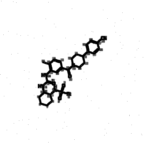 CCS(=O)(=O)N[C@H]1CCCC[C@H]1NC(=O)Nc1cc(C(=O)N2CCC(c3ccc(C#N)cc3)CC2)ccc1C